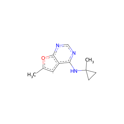 Cc1[c]c2c(NC3(C)CC3)ncnc2o1